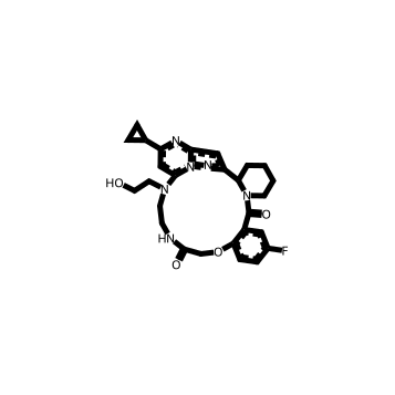 O=C1COc2ccc(F)cc2C(=O)N2CCCCC2c2cc3nc(C4CC4)cc(n3n2)N(CCO)CCN1